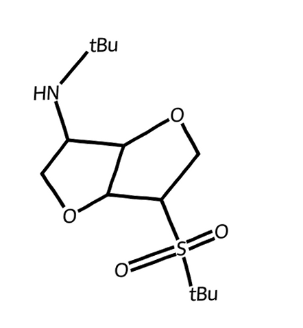 CC(C)(C)NC1COC2C1OCC2S(=O)(=O)C(C)(C)C